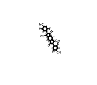 N#Cc1cc(F)c(-c2c(C#N)c3cc4c(=O)c(-c5cc(F)c(C#N)cc5F)c(C#N)c4cc3c2=O)cc1F